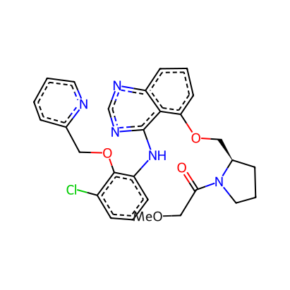 COCC(=O)N1CCC[C@@H]1COc1cccc2ncnc(Nc3cccc(Cl)c3OCc3ccccn3)c12